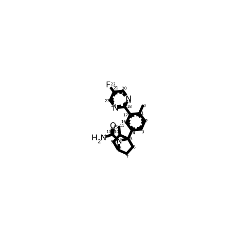 Cc1ccc(C23CCC(CC2C)N3C(N)=O)cc1-c1ncc(F)cn1